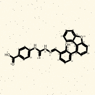 O=C(O)c1ccc(NC(=S)NN=Cc2cccc(-c3cccc4oc5ccccc5c34)c2O)cc1